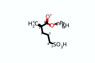 C=C(CCCS(=O)(=O)O)C(=O)OCCC.[KH]